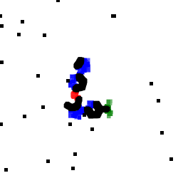 Cc1nnn(-c2ccc(C(F)F)cn2)c1COc1ccc(-n2ccnn2)nn1